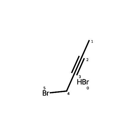 Br.CC#CCBr